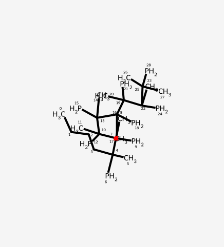 CCCCC(C)(P)C(C)(P)C(C)(P)C(C)(P)C(C)(P)C(C)(P)C(C)(P)C(C)(C)P